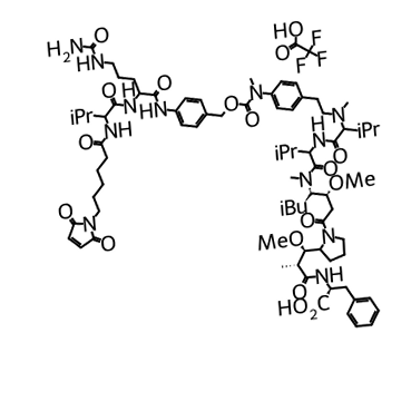 CC[C@H](C)[C@@H]([C@@H](CC(=O)N1CCCC1[C@H](OC)[C@@H](C)C(=O)N[C@@H](Cc1ccccc1)C(=O)O)OC)N(C)C(=O)C(NC(=O)C(C(C)C)N(C)CCc1ccc(N(C)C(=O)OCc2ccc(NC(=O)C(CCCNC(N)=O)NC(=O)C(NC(=O)CCCCCN3C(=O)C=CC3=O)C(C)C)cc2)cc1)C(C)C.O=C(O)C(F)(F)F